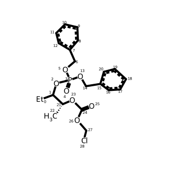 CCC(OP(=O)(OCc1ccccc1)OCc1ccccc1)[C@@H](C)OC(=O)OCCl